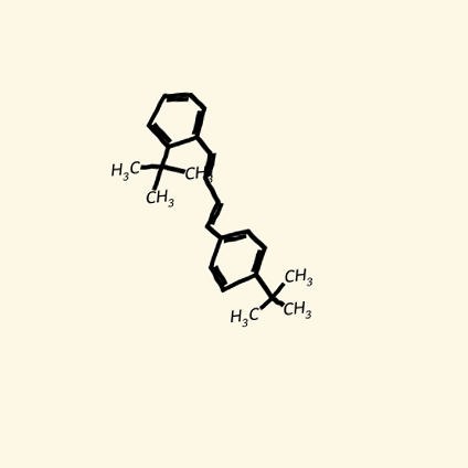 CC(C)(C)c1ccc(C=CC=Cc2ccccc2C(C)(C)C)cc1